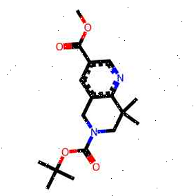 COC(=O)c1cnc2c(c1)CN(C(=O)OC(C)(C)C)CC2(C)C